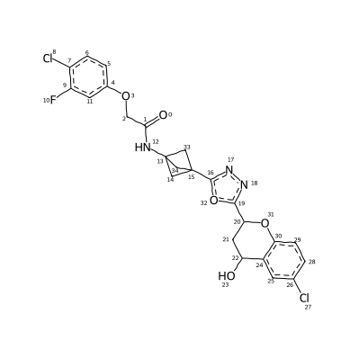 O=C(COc1ccc(Cl)c(F)c1)NC12CC(c3nnc(C4CC(O)c5cc(Cl)ccc5O4)o3)(C1)C2